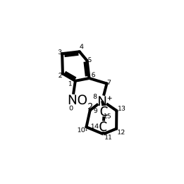 O=[N+]([O-])c1ccccc1C[N+]12C[CH]C(CC1)CC2